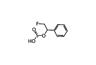 O=S(O)OC(CF)c1ccccc1